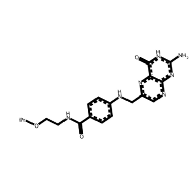 CC(C)OCCNC(=O)c1ccc(NCc2cnc3nc(N)[nH]c(=O)c3n2)cc1